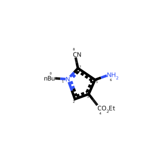 CCCCn1cc(C(=O)OCC)c(N)c1C#N